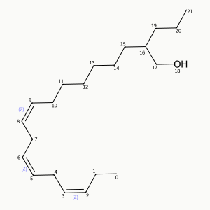 CC/C=C\C/C=C\C/C=C\CCCCCCC(CO)CCC